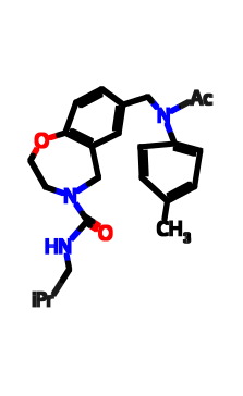 CC(=O)N(Cc1ccc2c(c1)CN(C(=O)NCC(C)C)CCO2)c1ccc(C)cc1